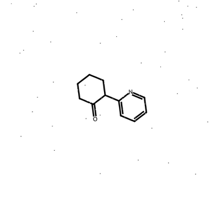 O=C1CCCCC1c1ccccn1